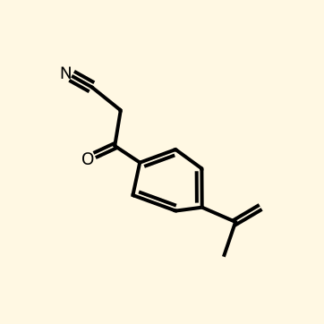 C=C(C)c1ccc(C(=O)CC#N)cc1